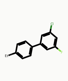 CCc1ccc(-c2cc(F)cc(Cl)c2)cc1